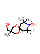 CCC1(CC)CC2(CC(C)(C)N1O)OCC(C)(CO)CO2